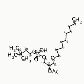 C=CCCCCCCCCOC[C@H](COP(=O)(O)OCC[N+](C)(C)C)OC(C)=O